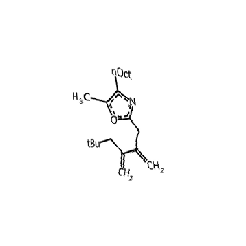 C=C(Cc1nc(CCCCCCCC)c(C)o1)C(=C)CC(C)(C)C